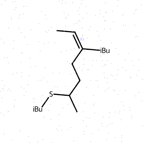 C/C=C(\CCC(C)SC(C)CC)C(C)CC